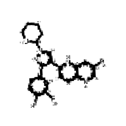 Fc1ccc(-c2nn(C3CCCCO3)cc2-c2ccc3ncc(Br)cc3n2)cc1F